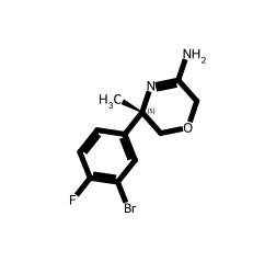 C[C@]1(c2ccc(F)c(Br)c2)COCC(N)=N1